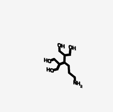 NCCCC(C(CO)CO)C(CO)CO